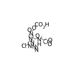 CC(NC(=O)CC1CN(C(=O)COCC(=O)O)CCN1c1cc(Cl)nc(-n2ccnc2)n1)c1ccc2c(c1)OCO2